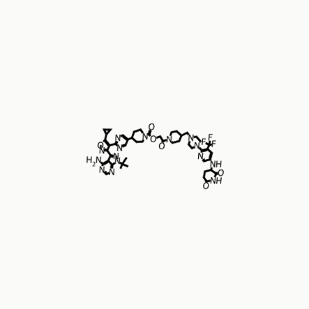 CC(C)(C)n1nc(-c2noc(C3CC3)c2-c2ncc(C3CCN(C(=O)OCC(=O)N4CCC(CN5CCN(c6ncc(NC7CCC(=O)NC7=O)cc6C(F)(F)F)CC5)CC4)CC3)cn2)c2c(N)ncnc21